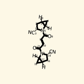 N#C[C@@H]1C[C@@H]2C[C@@H]2N1C(=O)/C=C/C(=O)N1[C@H](C#N)C[C@@H]2C[C@@H]21